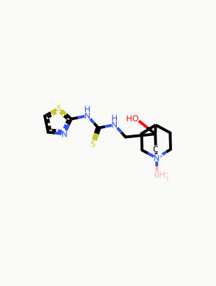 [BH3-][N+]12CCC(CC1)C(O)(CNC(=S)Nc1nccs1)C2